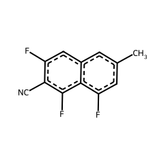 Cc1cc(F)c2c(F)c(C#N)c(F)cc2c1